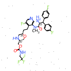 CN(C(=O)[C@@H](N)C(c1ccc(F)cc1)c1ccc(F)cc1)c1cncc(F)c1CC[C@@H]1CN[C@H](COC(=O)NCC(F)(F)F)CO1